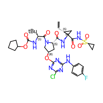 C=C[C@@H]1C[C@]1(NC(=O)[C@@H]1C[C@@H](Oc2nc(Cl)nc(Nc3ccc(F)cc3)n2)CN1C(=O)[C@@H](NC(=O)OC1CCCC1)C(C)(C)C)C(=O)NS(=O)(=O)C1CC1